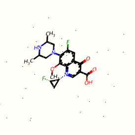 COc1c(N2CC(C)NC(C)C2)c(F)cc2c(=O)c(C(=O)O)cn([C@@H]3C[C@@H]3F)c12